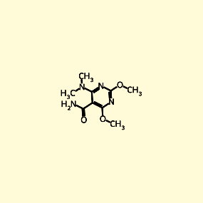 COc1nc(OC)c(C(N)=O)c(N(C)C)n1